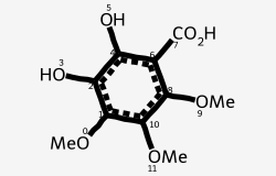 COc1c(O)c(O)c(C(=O)O)c(OC)c1OC